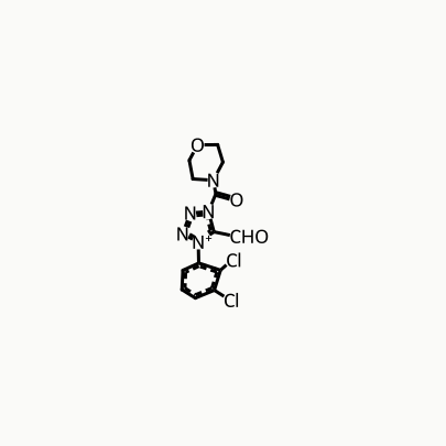 O=Cc1n(C(=O)N2CCOCC2)nn[n+]1-c1cccc(Cl)c1Cl